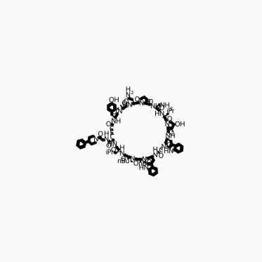 CCCC[C@H]1C(=O)N(C)[C@@H](CCCC)C(=O)N[C@@H](CC(C)C)C(=O)N[C@H](C(=O)NCC(=O)N2CCC(c3ccccc3)CC2)CSCC(=O)N[C@@H](Cc2ccc(O)cc2)C(=O)N(C)[C@@H](C)C(=O)N[C@@H](CC(N)=O)C(=O)N2CCC[C@H]2C(=O)N[C@@H](CN)C(=O)N[C@@H](CC(C)C)C(=O)N2C[C@H](O)C[C@H]2C(=O)N[C@@H](Cc2c[nH]c3ccccc23)C(=O)NCC(=O)NC(Cc2c[nH]c3ccccc23)C(=O)N1C